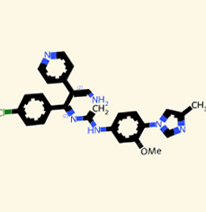 C=C(/N=C(\C(=C/N)c1ccncc1)c1ccc(Cl)cc1)Nc1ccc(-n2cnc(C)c2)c(OC)c1